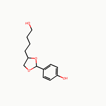 OCCCCC1COC(c2ccc(O)cc2)O1